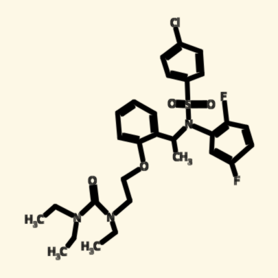 CCN(CC)C(=O)N(CC)CCOc1ccccc1C(C)N(c1cc(F)ccc1F)S(=O)(=O)c1ccc(Cl)cc1